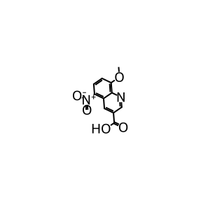 COc1ccc([N+](=O)[O-])c2cc(C(=O)O)cnc12